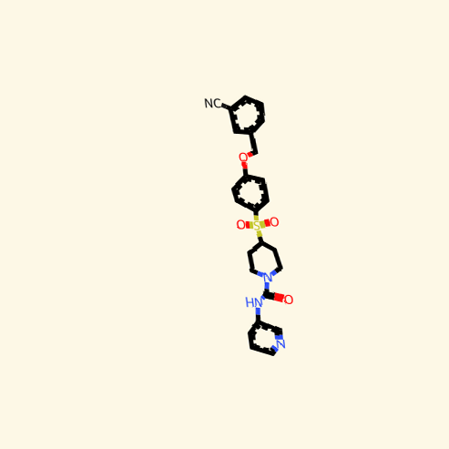 N#Cc1cccc(COc2ccc(S(=O)(=O)C3CCN(C(=O)Nc4cccnc4)CC3)cc2)c1